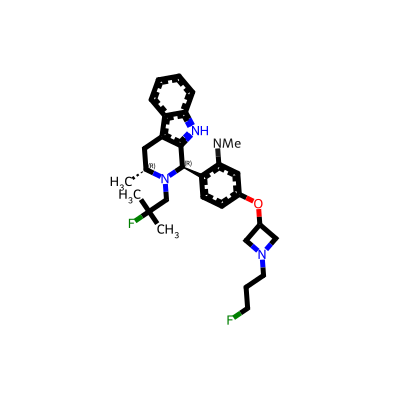 CNc1cc(OC2CN(CCCF)C2)ccc1[C@@H]1c2[nH]c3ccccc3c2C[C@@H](C)N1CC(C)(C)F